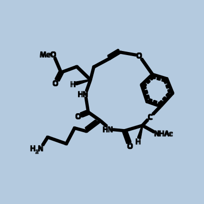 COC(=O)C[C@@H]1C/C=C\Oc2ccc(cc2)C[C@H](NC(C)=O)C(=O)N/C(=C/CCCN)C(=O)N1